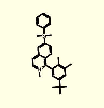 Cc1cc(C(C)(C)C)cc(-c2c3ccc([Si](C)(C)c4ccccc4)cc3cc[n+]2C)c1C